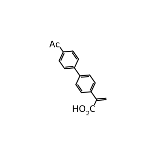 C=C(C(=O)O)c1ccc(-c2ccc(C(C)=O)cc2)cc1